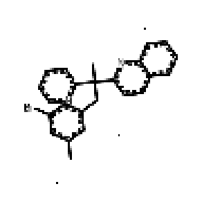 Cc1cc(Br)cc(CC(C)(c2ccccn2)c2ccc3ccccc3n2)c1